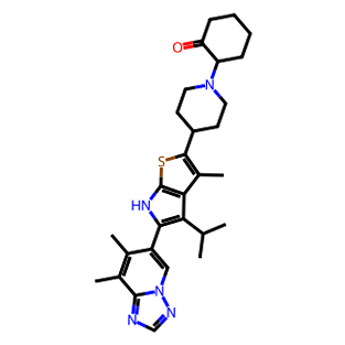 Cc1c(-c2[nH]c3sc(C4CCN(C5CCCCC5=O)CC4)c(C)c3c2C(C)C)cn2ncnc2c1C